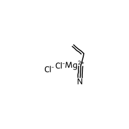 C=CC#N.[Cl-].[Cl-].[Mg+2]